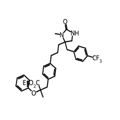 CCOC(=O)C(C)(Cc1ccc(CCCC2(Cc3ccc(C(F)(F)F)cc3)CNC(=O)N2C)cc1)Oc1ccccc1